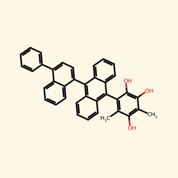 Cc1c(O)c(C)c(-c2c3ccccc3c(-c3ccc(-c4ccccc4)c4ccccc34)c3ccccc23)c(O)c1O